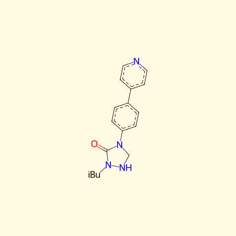 CCC(C)N1NCN(c2ccc(-c3ccncc3)cc2)C1=O